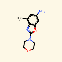 Cc1cc(N)cc2oc(N3CCOCC3)nc12